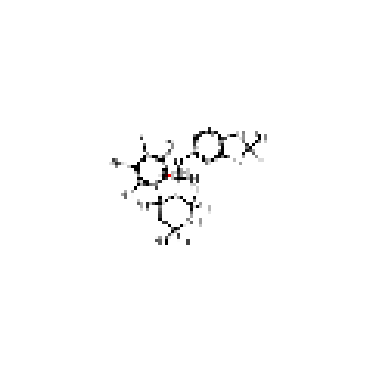 [2H]c1c([2H])c(C2([2H])CC([2H])([2H])NC([2H])([2H])[C@H]2C([2H])([2H])Oc2ccc3c(c2)OC([2H])([2H])O3)c([2H])c([2H])c1F